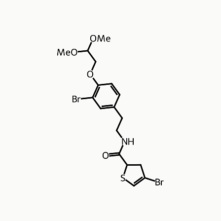 COC(COc1ccc(CCNC(=O)C2CC(Br)=CS2)cc1Br)OC